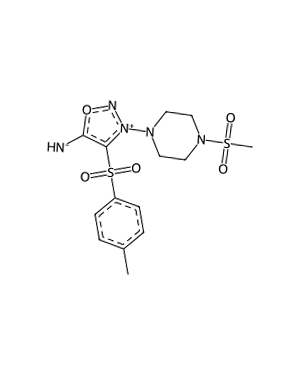 Cc1ccc(S(=O)(=O)c2c([NH-])on[n+]2N2CCN(S(C)(=O)=O)CC2)cc1